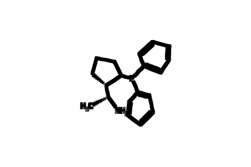 C[C@@H](N)[C@@H]1CCCC1P(c1ccccc1)c1ccccc1